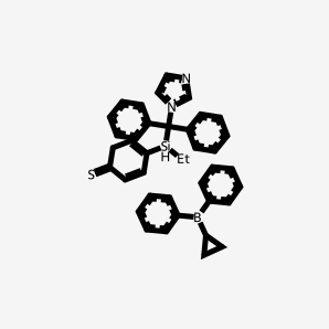 CC[SiH](C1=CCC(=S)C=C1)C(c1ccccc1)(c1ccccc1)n1ccnc1.c1ccc(B(c2ccccc2)C2CC2)cc1